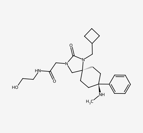 CN[C@]1(c2ccccc2)CC[C@]2(CC1)CN(CC(=O)NCCO)C(=O)N2CC1CCC1